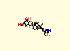 C=C1/C(=C\C=C2/CCC[C@]3(C)C([C@H](C)C/C=C/C(=N)C(F)(F)F)=CC[C@@H]23)C[C@@H](O)C[C@@H]1O